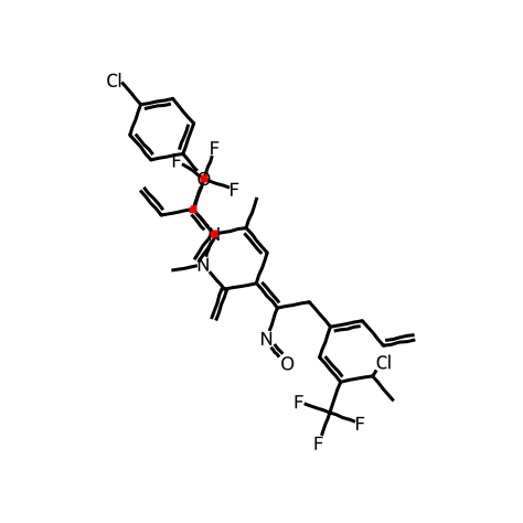 C=C/C=C(\C=C(/C(C)Cl)C(F)(F)F)C/C(N=O)=C(\C=C(\C)C(=C)COc1ccc(Cl)cc1)C(=C)N(C)/N=C(\C=C)C(F)(F)F